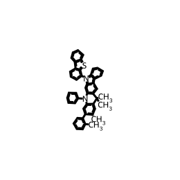 Cc1ccccc1-c1cc2c(cc1C)C(C)(C)c1cc3c4ccccc4n(-c4cccc5c4sc4ccccc45)c3cc1N2c1ccccc1